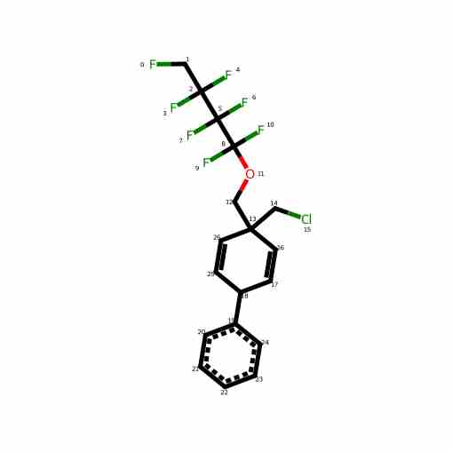 FCC(F)(F)C(F)(F)C(F)(F)OCC1(CCl)C=CC(c2ccccc2)C=C1